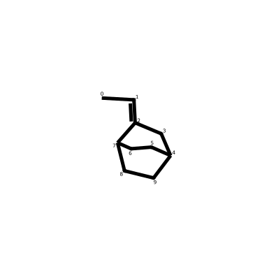 C/C=C1/CC2CCC1CC2